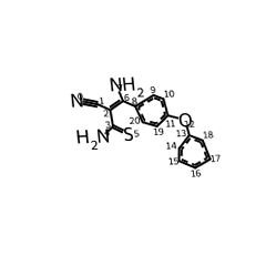 N#C/C(C(N)=S)=C(\N)c1ccc(Oc2ccccc2)cc1